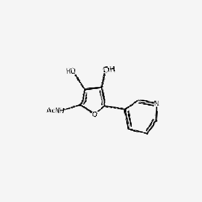 CC(=O)Nc1oc(-c2cccnc2)c(O)c1O